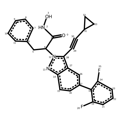 O=C(NO)C(Cc1ccccc1)n1nc2ccc(-c3c(F)cccc3F)cc2c1C#CC1CC1